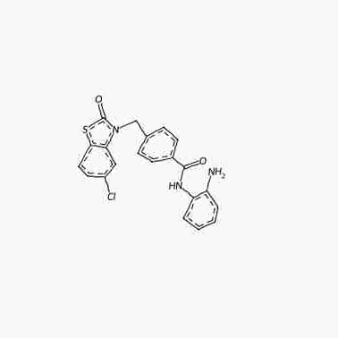 Nc1ccccc1NC(=O)c1ccc(Cn2c(=O)sc3ccc(Cl)cc32)cc1